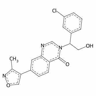 Cc1nocc1-c1ccc2c(=O)n(C(CO)c3cccc(Cl)c3)cnc2c1